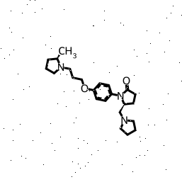 C[C@@H]1CCCN1CCCOc1ccc(N2C(=O)CC[C@H]2CN2CCCC2)cc1